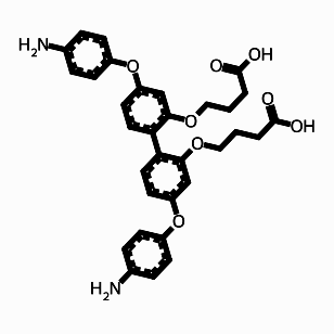 Nc1ccc(Oc2ccc(-c3ccc(Oc4ccc(N)cc4)cc3OCCCC(=O)O)c(OCCCC(=O)O)c2)cc1